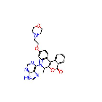 CC(Nc1ncnc2[nH]cnc12)c1oc(=O)c2ccccc2c1-c1ccc(OCCN2CCOCC2)cc1